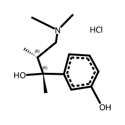 C[C@H](CN(C)C)[C@@](C)(O)c1cccc(O)c1.Cl